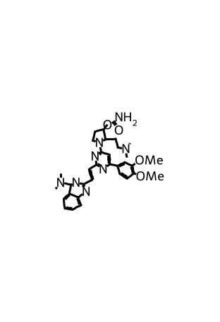 COc1ccc(-c2cc(N3CCC(OC(N)=O)C3CCN(C)C)nc(/C=C/c3nc(N(C)C)c4ccccc4n3)n2)cc1OC